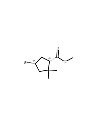 COC(=O)[C@H]1C[C@@H](Br)CC1(C)C